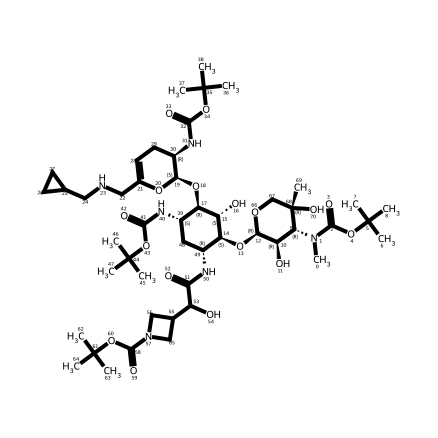 CN(C(=O)OC(C)(C)C)[C@@H]1[C@@H](O)[C@@H](O[C@@H]2[C@@H](O)[C@H](O[C@H]3OC(CNCC4CC4)=CC[C@H]3NC(=O)OC(C)(C)C)[C@@H](NC(=O)OC(C)(C)C)C[C@H]2NC(=O)C(O)C2CN(C(=O)OC(C)(C)C)C2)OC[C@]1(C)O